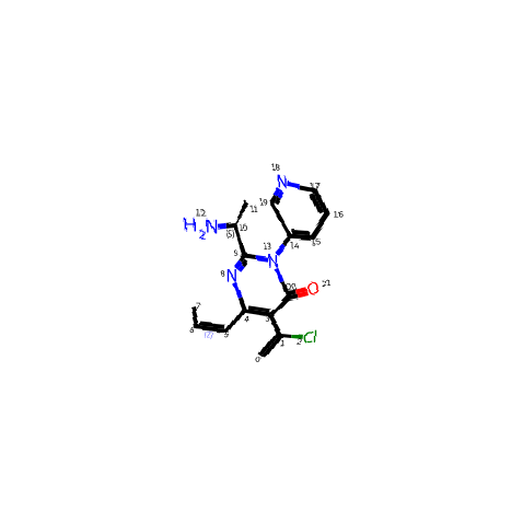 C=C(Cl)c1c(/C=C\C)nc([C@H](C)N)n(-c2cccnc2)c1=O